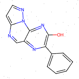 Oc1nc2c(cnc3ccnn32)nc1-c1ccccc1